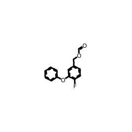 O=COCc1ccc(F)c(Oc2ccccc2)c1